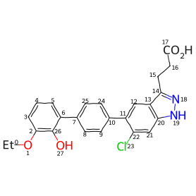 CCOc1cccc(-c2ccc(-c3cc4c(CCC(=O)O)n[nH]c4cc3Cl)cc2)c1O